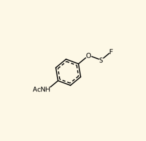 CC(=O)Nc1ccc(OSF)cc1